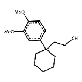 COc1ccc(C2(CCO)CCCCC2)cc1OC